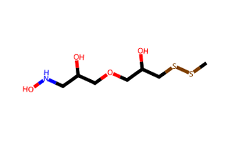 CSSCC(O)COCC(O)CNO